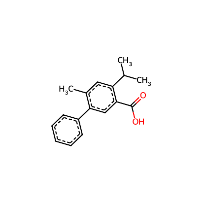 Cc1cc(C(C)C)c(C(=O)O)cc1-c1ccccc1